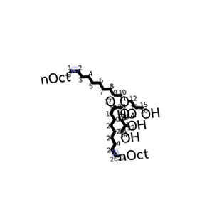 CCCCCCCC/C=C\CCCCCCC(COCC(O)CO)OC(CCCCCC/C=C\CCCCCCCC)COCC(O)CO